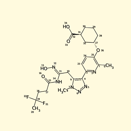 Cc1nc(-c2nnn(C)c2C/C(=N/O)NC(=O)CCC(C)(F)F)ccc1O[C@H]1CCC[C@H](C(=O)O)C1